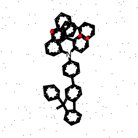 CC1(c2ccccc2)c2ccccc2-c2ccc(-c3ccc(N(c4ccccc4-c4cccc5cccc(-c6ccccc6)c45)c4cccc5sc6ccccc6c45)cc3)cc21